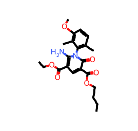 CCCCOC(=O)c1cc(C(=O)OCC)c(N)n(-c2c(C)ccc(OC)c2C)c1=O